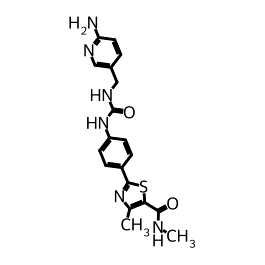 CNC(=O)c1sc(-c2ccc(NC(=O)NCc3ccc(N)nc3)cc2)nc1C